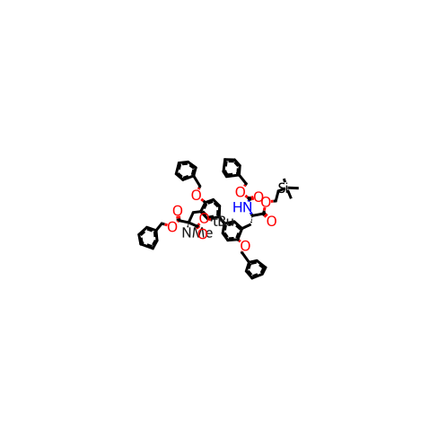 CN[C@@](Cc1cc(-c2ccc(OCc3ccccc3)c(C[C@H](NC(=O)OCc3ccccc3)C(=O)OCC[Si](C)(C)C)c2)ccc1OCc1ccccc1)(C(=O)OCc1ccccc1)C(=O)OC(C)(C)C